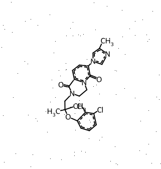 Cc1cn(-c2ccc3n(c2=O)CCN(CC(C)(C)Oc2cccc(Cl)c2Cl)C3=O)cn1